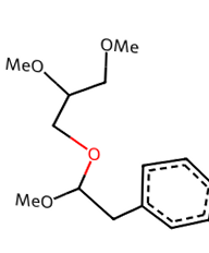 COCC(COC(Cc1ccccc1)OC)OC